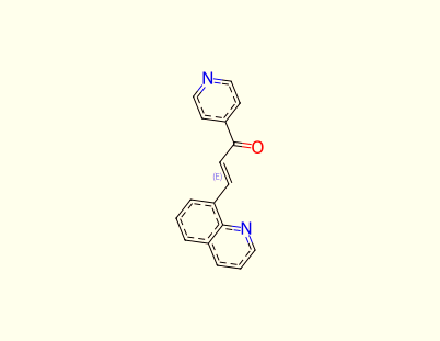 O=C(/C=C/c1cccc2cccnc12)c1ccncc1